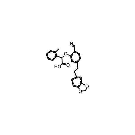 Cc1ccccc1[C@H](Oc1cc(CCc2ccc3c(c2)OCO3)ccc1C#N)C(=O)O